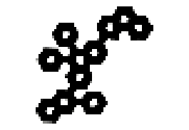 c1ccc(-c2cc3ccccc3cc2-c2ccc3c(c2)c(-c2ccccc2)c(-c2ccccc2)c2cc(-c4ccc5ccc6cccnc6c5n4)ccc23)cc1